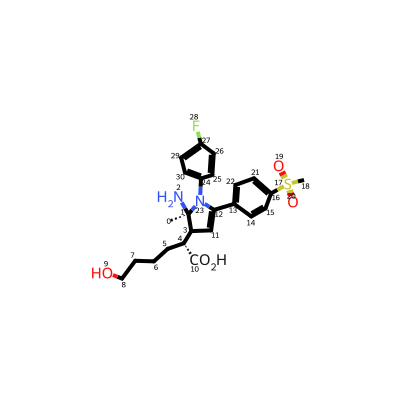 C[C@@]1(N)C([C@@H](CCCCO)C(=O)O)C=C(c2ccc(S(C)(=O)=O)cc2)N1c1ccc(F)cc1